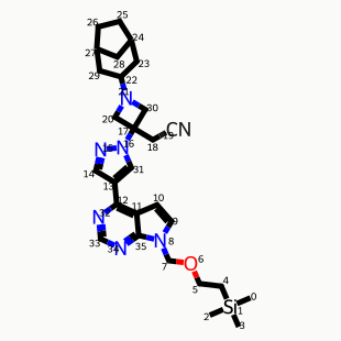 C[Si](C)(C)CCOCn1ccc2c(-c3cnn(C4(CC#N)CN(C5CC6CCC(C6)C5)C4)c3)ncnc21